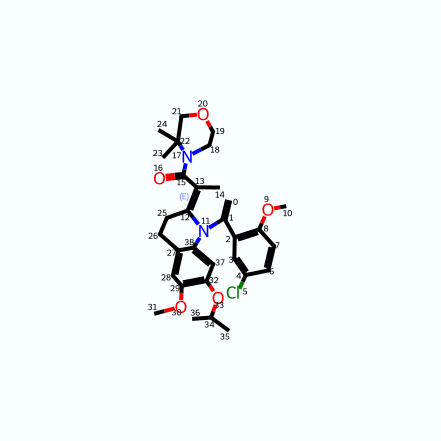 C=C(c1cc(Cl)ccc1OC)N1/C(=C(\C)C(=O)N2CCOCC2(C)C)CCc2cc(OC)c(OC(C)C)cc21